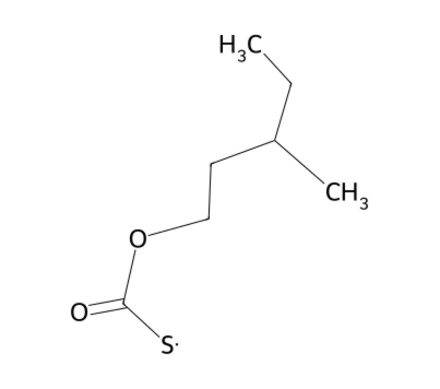 CCC(C)CCOC(=O)[S]